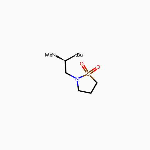 CN[C@H](CN1CCCS1(=O)=O)C(C)(C)C